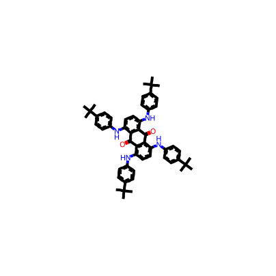 CC(C)(C)c1ccc(Nc2ccc(Nc3ccc(C(C)(C)C)cc3)c3c2C(=O)c2c(Nc4ccc(C(C)(C)C)cc4)ccc(Nc4ccc(C(C)(C)C)cc4)c2C3=O)cc1